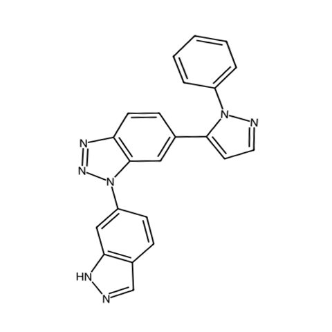 c1ccc(-n2nccc2-c2ccc3nnn(-c4ccc5cn[nH]c5c4)c3c2)cc1